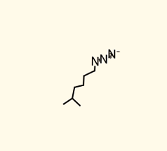 CC(C)CCCCN=[N+]=[N-]